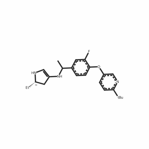 CC[C@H]1CC(NC(C)c2ccc(Oc3ccc(C(C)(C)C)nc3)c(F)c2)=CN1